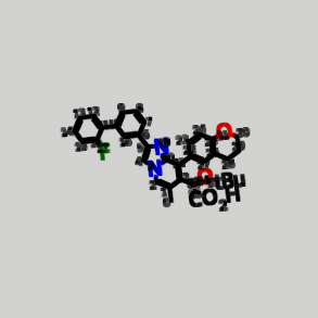 Cc1cn2cc(-c3cccc(-c4ccccc4F)c3)nc2c(-c2ccc3c(c2)CCCO3)c1[C@H](OC(C)(C)C)C(=O)O